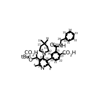 Cc1nc(C)c(C(OC(C)(C)C)C(=O)O)c(N2CCC(C)(C)CC2)c1-c1ccc(C(=O)O)c(C(=O)NCc2ccccc2)c1